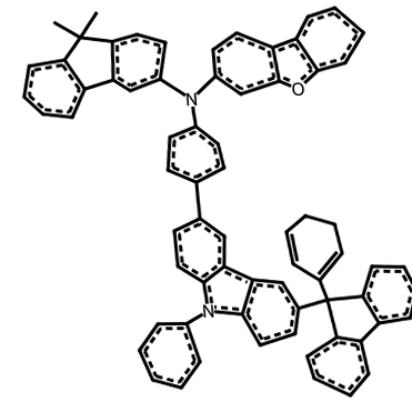 CC1(C)c2ccccc2-c2cc(N(c3ccc(-c4ccc5c(c4)c4cc(C6(C7=CCCC=C7)c7ccccc7-c7ccccc76)ccc4n5-c4ccccc4)cc3)c3ccc4c(c3)oc3ccccc34)ccc21